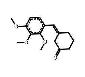 COc1ccc(/C=C2/CCCC(=O)C2)c(OC)c1OC